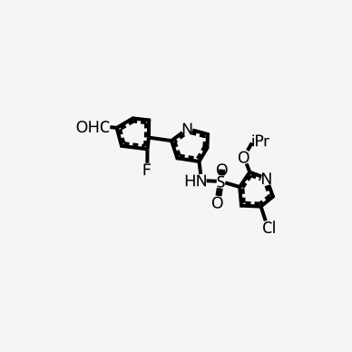 CC(C)Oc1ncc(Cl)cc1S(=O)(=O)Nc1ccnc(-c2ccc(C=O)cc2F)c1